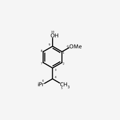 COc1cc(C(C)C(C)C)ccc1O